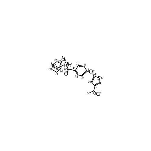 CC(Cl)c1csc(Oc2ccc(C(=O)N[C@H]3CN4CCC3CC4)cc2)c1